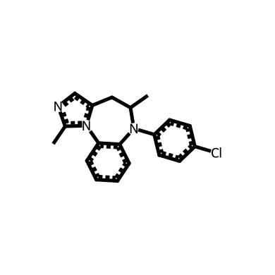 Cc1ncc2n1-c1ccccc1N(c1ccc(Cl)cc1)C(C)C2